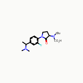 CC(c1ccc(N2CCC(N(C(=O)O)C(C)(C)C)C2=O)c(F)c1)N(C)C